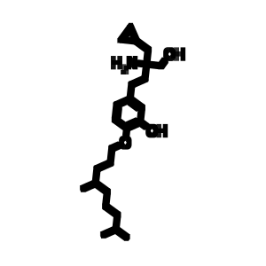 CC(C)CCCC(C)CCCOc1ccc(CCC(N)(CO)CC2CC2)cc1O